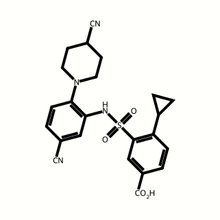 N#Cc1ccc(N2CCC(C#N)CC2)c(NS(=O)(=O)c2cc(C(=O)O)ccc2C2CC2)c1